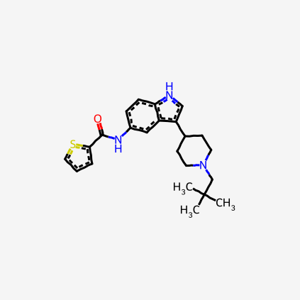 CC(C)(C)CN1CCC(c2c[nH]c3ccc(NC(=O)c4cccs4)cc23)CC1